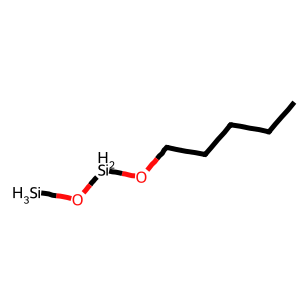 CCCCCO[SiH2]O[SiH3]